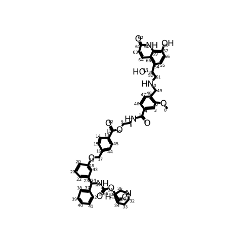 COc1cc(C(=O)NCCOC(=O)c2ccc(COc3cccc(C(NC(=O)O[C@H]4CN5CCC4CC5)c4ccccc4)c3)cc2)ccc1CNC[C@H](O)c1ccc(O)c2[nH]c(=O)ccc12